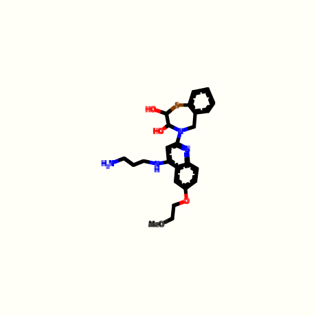 COCCOc1ccc2nc(N3Cc4ccccc4SC(O)C3O)cc(NCCCN)c2c1